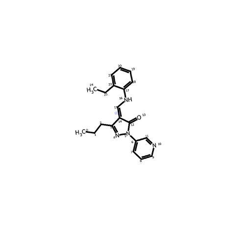 CCCC1=NN(c2cccnc2)C(=O)/C1=C\Nc1ccccc1CC